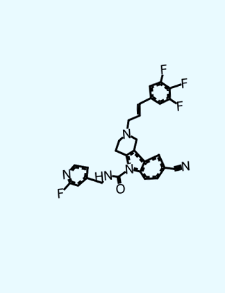 N#Cc1ccc2c(c1)c1c(n2C(=O)NCc2ccnc(F)c2)CCN(CC=Cc2cc(F)c(F)c(F)c2)C1